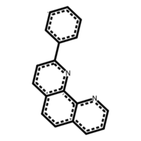 [c]1cccc(-c2ccc3ccc4cccnc4c3n2)c1